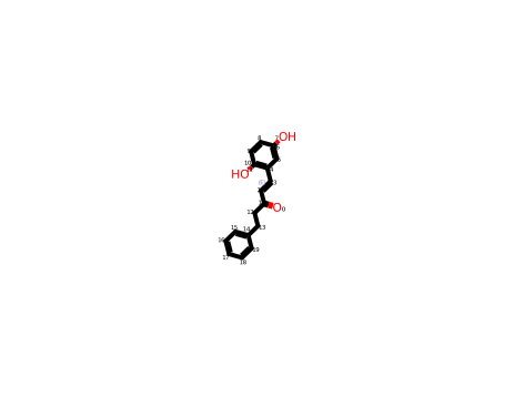 O=C(/C=C/c1cc(O)ccc1O)CCc1ccccc1